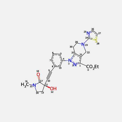 CCOC(=O)c1nn(-c2cccc(C#C[C@]3(O)CCN(C)C3=O)c2)c2c1CN(c1nccs1)CC2